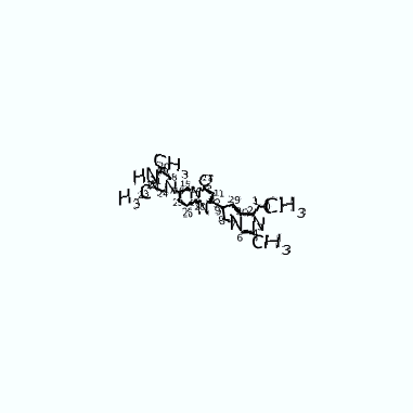 CCC1=NC(C)=CN2CC(c3cc(=O)n4cc(N5C[C@@H](C)N[C@@H](C)C5)ccc4n3)C=C12